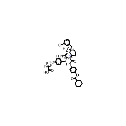 C[N+]1(Cc2cccc(Cl)c2)CCC/C(=[N+](\C(=O)Nc2ccc(OC(=O)C3CCCCC3)cc2)[C@@H](Cc2ccc(O)cc2)C(N)=O)C1.O=C(O)C(F)(F)F